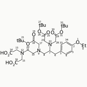 CCOc1ccc(CC(CN(CCN(CC(=O)O)CC(=O)O)CC(=O)OC(C)(C)C)N(CC(=O)OC(C)(C)C)CC(=O)OC(C)(C)C)cc1